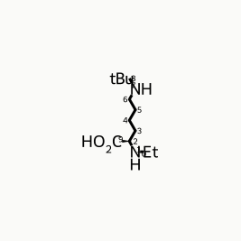 CCN[C@H](CCCCNC(C)(C)C)C(=O)O